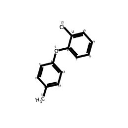 Cc1ccc(Oc2cc[c]cc2Cl)cc1